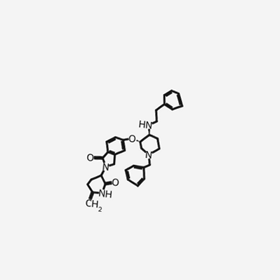 C=C1CCC(N2Cc3cc(O[C@H]4CN(Cc5ccccc5)CC[C@@H]4NCCc4ccccc4)ccc3C2=O)C(=O)N1